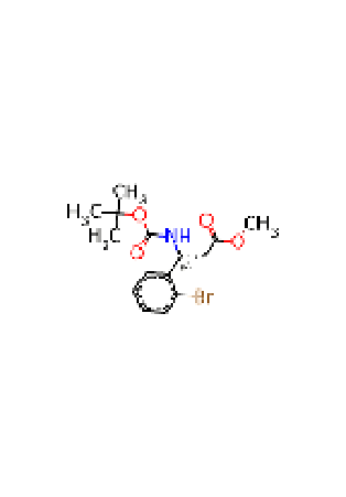 COC(=O)C[C@@H](NC(=O)OC(C)(C)C)c1ccccc1Br